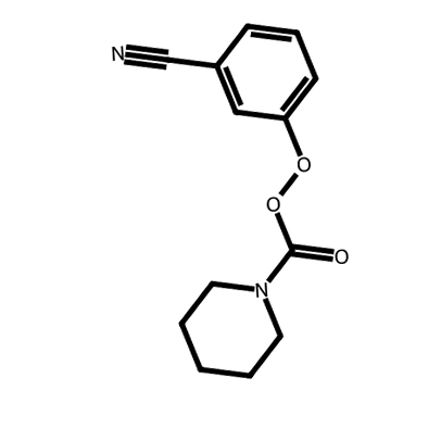 N#Cc1cccc(OOC(=O)N2CCCCC2)c1